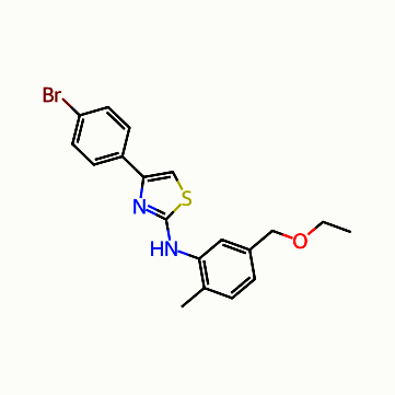 CCOCc1ccc(C)c(Nc2nc(-c3ccc(Br)cc3)cs2)c1